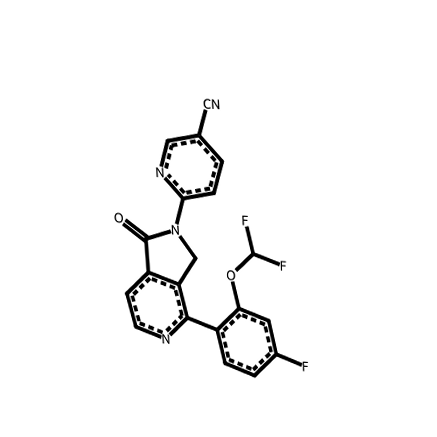 N#Cc1ccc(N2Cc3c(ccnc3-c3ccc(F)cc3OC(F)F)C2=O)nc1